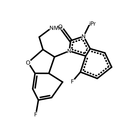 CNCC1OC2=CC(F)=CCC2C1n1c(=O)n(C(C)C)c2cccc(F)c21